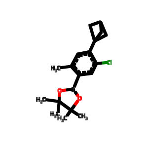 Cc1cc(C23CC(C2)C3)c(Cl)cc1B1OC(C)(C)C(C)(C)O1